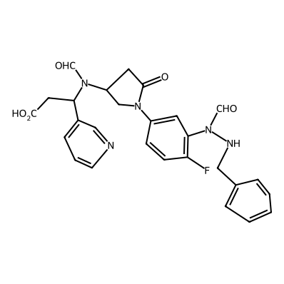 O=CN(NCc1ccccc1)c1cc(N2CC(N(C=O)C(CC(=O)O)c3cccnc3)CC2=O)ccc1F